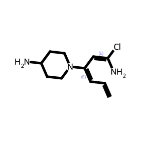 C=C/C=C(\C=C(/N)Cl)N1CCC(N)CC1